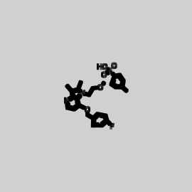 COCCn1c(C)c(C)c2nccc(OCc3ccc(F)cc3)c21.Cc1ccc(S(=O)(=O)O)cc1